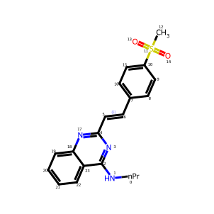 CCCNc1nc(/C=C/c2ccc(S(C)(=O)=O)cc2)nc2ccccc12